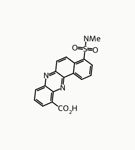 CNS(=O)(=O)c1cccc2c1ccc1nc3cccc(C(=O)O)c3nc12